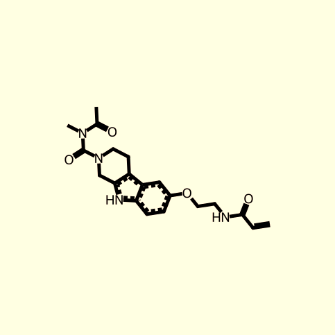 C=CC(=O)NCCOc1ccc2[nH]c3c(c2c1)CCN(C(=O)N(C)C(C)=O)C3